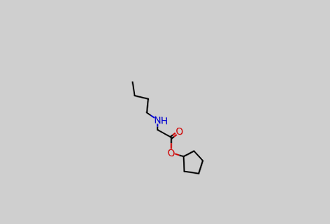 CCCCNCC(=O)OC1CCCC1